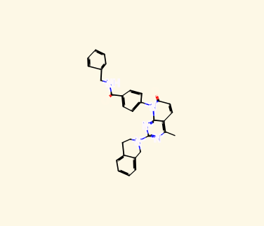 Cc1nc(N2CCc3ccccc3C2)nc2c1ccc(=O)n2-c1ccc(C(=O)NCc2ccccc2)cc1